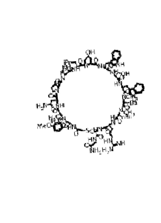 CCCC[C@H]1C(=O)N(C)[C@@H](CCCC)C(=O)N[C@@H](CCCNC(=N)N)C(=O)N[C@H](C(=O)NCC(N)=O)CSCC(=O)N[C@@H](Cc2ccc(OC)cc2)C(=O)N(C)[C@@H](C)C(=O)N[C@@H](CC(N)=O)C(=O)N2CCC[C@H]2C(=O)N[C@@H](CN)C(=O)N[C@@H](CC(C)C)C(=O)N2C[C@H](O)CC2C(=O)N[C@@H](Cc2c[nH]c3ccccc23)C(=O)N[C@@H](CO)C(=O)N[C@@H](Cc2c[nH]c3ccccc23)C(=O)N1C